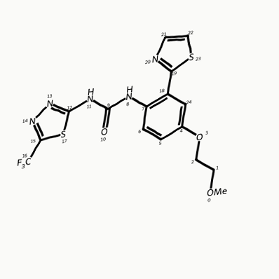 COCCOc1ccc(NC(=O)Nc2nnc(C(F)(F)F)s2)c(-c2nccs2)c1